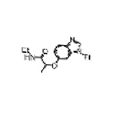 CCNC(=O)C(C)Oc1ccc2ncn(CC)c2c1